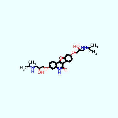 CC(C)NCC(O)COc1ccc2c(c1)[nH]c(=O)c1c3ccc(OCC(O)CNC(C)C)cc3oc21